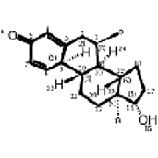 C[C@@H]1CC2=CC(=O)C=C[C@@H]2[C@H]2CC[C@]3(C)[C@@H](O)CC[C@H]3[C@@H]21